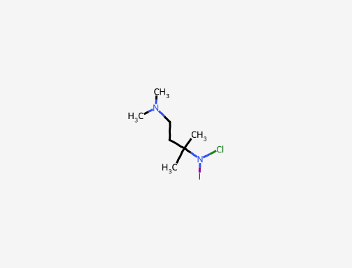 CN(C)CCC(C)(C)N(Cl)I